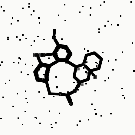 COc1ccc2c(c1O)-c1cc(ccc1O)CCC(=O)O[C@H]1C[C@@H]3CCCCN3[C@H]2C1